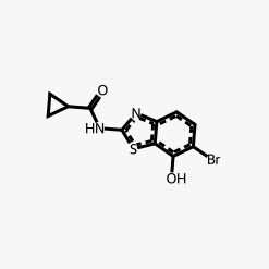 O=C(Nc1nc2ccc(Br)c(O)c2s1)C1CC1